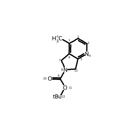 Cc1ccnc2c1CN(C(=O)OC(C)(C)C)C2